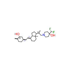 C=C1CC/C(=C/C=C2\CCCC3(C)C2CCC3[C@@H](C)CN2CCC(O)(C(F)F)CC2)C[C@H]1O